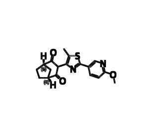 COc1ccc(-c2nc(C3C(=O)[C@@H]4CC[C@@H](C4)C3=O)c(C)s2)cn1